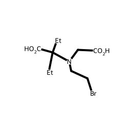 CCC(CC)(C(=O)O)N(CCBr)CC(=O)O